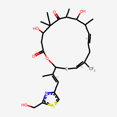 C/C(=C\c1csc(CO)n1)C1C/C=C(/C(F)(F)F)C/C=C/C(C)C(O)C(C)C(=O)C(C)(C)C(O)CC(=O)O1